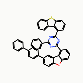 c1ccc(-c2ccc(-c3ccc4oc5cccc(-c6nc(-c7ccccc7)nc(-c7cccc8sc9ccccc9c78)n6)c5c4c3)cc2)cc1